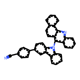 N#Cc1ccc(-c2ccc3c(c2)c2ccccc2n3-c2c3ccccc3nc3c2ccc2ccccc23)cc1